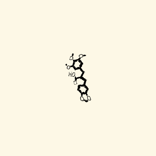 COc1cc(C/C(=C/c2ccc3c(c2)OCO3)C(=O)O)cc(OC)c1OC